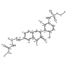 CCCS(=O)(=O)Nc1ncc(F)c(-c2cc3cnc(NCC(C)NC(=O)OC)nc3n(C)c2=O)c1F